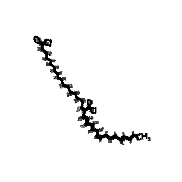 CCCCCCCC/C=C\CCCCCCC(CCCCCCCCCCCCCCCCCC(=O)Cl)C(=O)Cl